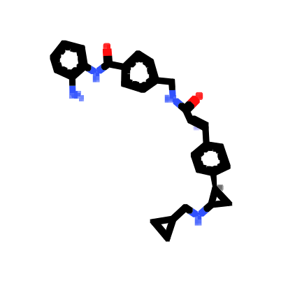 Nc1ccccc1NC(=O)c1ccc(CNC(=O)/C=C/c2ccc([C@H]3CC3NCC3CC3)cc2)cc1